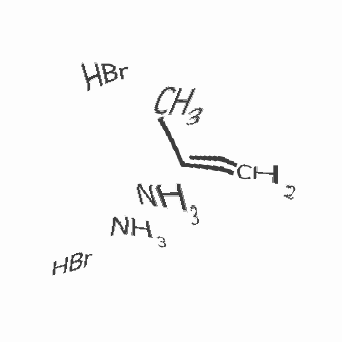 Br.Br.C=CC.N.N